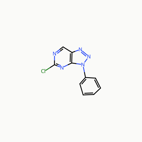 Clc1ncc2nnn(-c3ccccc3)c2n1